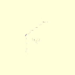 CCCCCCCC/C=C\CCCCCCCC(=O)O.O.O